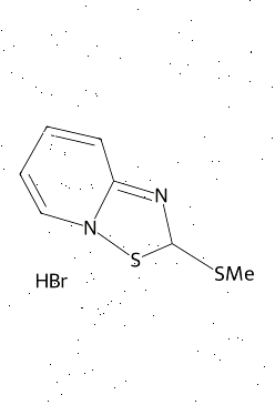 Br.CSC1N=C2C=CC=CN2S1